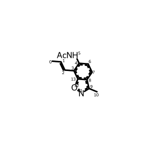 C/C=C/c1c(NC(C)=O)ccc2c(C)noc12